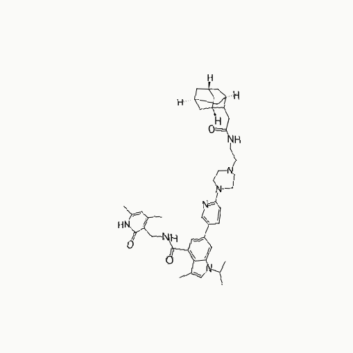 Cc1cc(C)c(CNC(=O)c2cc(-c3ccc(N4CCN(CCNC(=O)CC5[C@H]6C[C@@H]7C[C@@H](C[C@H]5C7)C6)CC4)nc3)cc3c2c(C)cn3C(C)C)c(=O)[nH]1